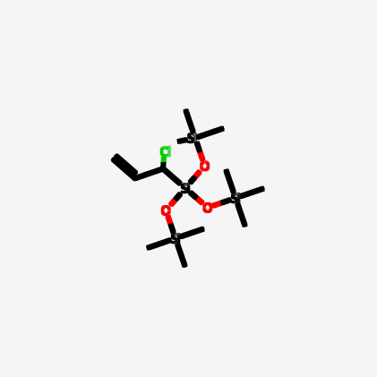 C=CC(Cl)[Si](O[Si](C)(C)C)(O[Si](C)(C)C)O[Si](C)(C)C